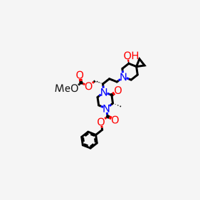 COC(=O)OC[C@H](CCN1CCC2(CC2)[C@H](O)C1)N1CCN(C(=O)OCc2ccccc2)[C@@H](C)C1=O